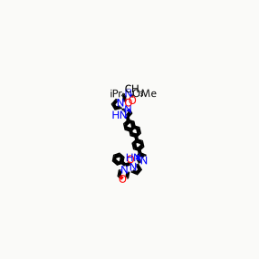 COC(=O)N(C)C(C(=O)N1CCC[C@H]1c1ncc(-c2ccc3cc(-c4ccc(-c5cnc([C@@H]6CCCN6C(=O)C(c6ccccc6)N6CCOCC6)[nH]5)cc4)ccc3c2)[nH]1)C(C)C